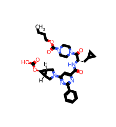 CCCCOC(=O)N1CCN(C(=O)[C@H](CC2CC2)NC(=O)c2cc(N3C[C@@H]4[C@H](C3)[C@@H]4OC(=O)O)nc(-c3ccccc3)n2)CC1